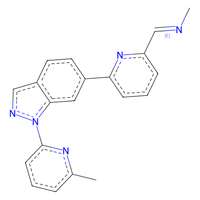 C/N=C/c1cccc(-c2ccc3cnn(-c4cccc(C)n4)c3c2)n1